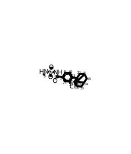 CNS(=O)(=O)NC(=O)c1ccc(C23CC4CC(CC(C4)C2)C3)c(Cl)c1